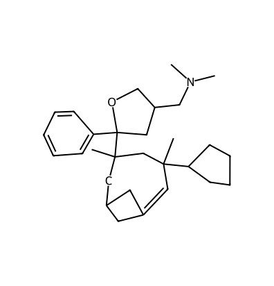 CN(C)CC1COC(c2ccccc2)(C2(C)CC3CC(=CC(C)(C4CCCC4)C2)C3)C1